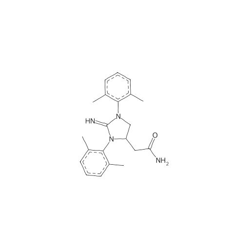 Cc1cccc(C)c1N1CC(CC(N)=O)N(c2c(C)cccc2C)C1=N